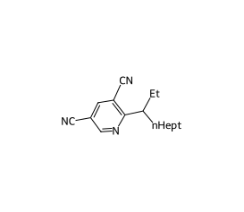 CCCCCCCC(CC)c1ncc(C#N)cc1C#N